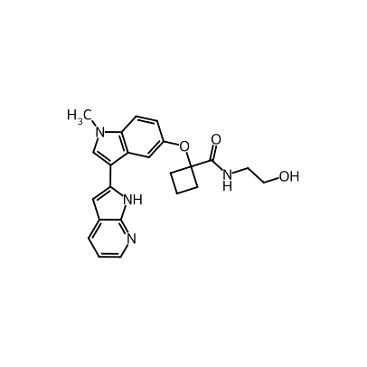 Cn1cc(-c2cc3cccnc3[nH]2)c2cc(OC3(C(=O)NCCO)CCC3)ccc21